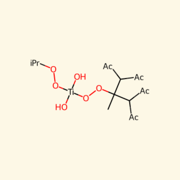 CC(=O)C(C(C)=O)C(C)(O[O][Ti]([OH])([OH])[O]OC(C)C)C(C(C)=O)C(C)=O